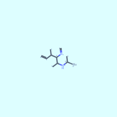 C=CC(C)C(N=C)C(C)NC(C)C(C)CC